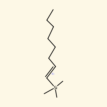 CCCCCC/C=C/[Si](C)(C)C